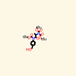 CC(C(=O)N(C(=O)OC(C)(C)C)c1ccc(CO)cc1)N(C(=O)OC(C)(C)C)C(=O)OC(C)(C)C